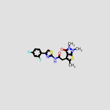 Cc1sc2c(c1CC(=O)Nc1nc(-c3ccc(F)cc3F)cs1)c(=O)n(C)n2C